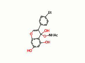 CCc1ccc(C2=COc3cc(O)cc(O)c3C2(O)ONC(C)=O)cc1